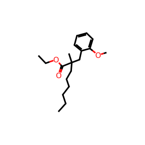 CCCCCCC(C)(Cc1ccccc1OC)C(=O)OCC